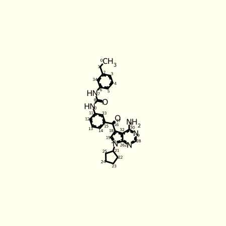 CCc1cccc(NC(=O)Nc2cccc(C(=O)c3cn(C4CCCC4)c4ncnc(N)c34)c2)c1